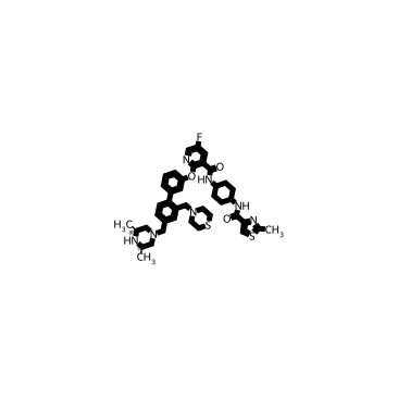 Cc1nc(C(=O)NC2CCC(NC(=O)c3cc(F)cnc3Oc3cccc(-c4ccc(CN5C[C@@H](C)N[C@@H](C)C5)cc4CN4CCSCC4)c3)CC2)cs1